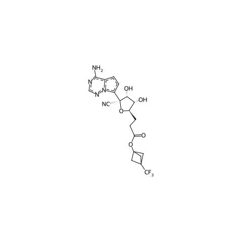 N#C[C@@]1(c2ccc3c(N)ncnn23)O[C@H](CCC(=O)OC23CC(C(F)(F)F)(C2)C3)[C@@H](O)[C@H]1O